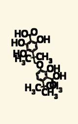 CC(C)(C)c1ccc(OCC(C)(C)c2cc(O)c(C(=O)O)c(O)c2O)c(O)c1C(=O)O